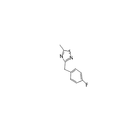 Cc1nc(Cc2ccc(F)cc2)ns1